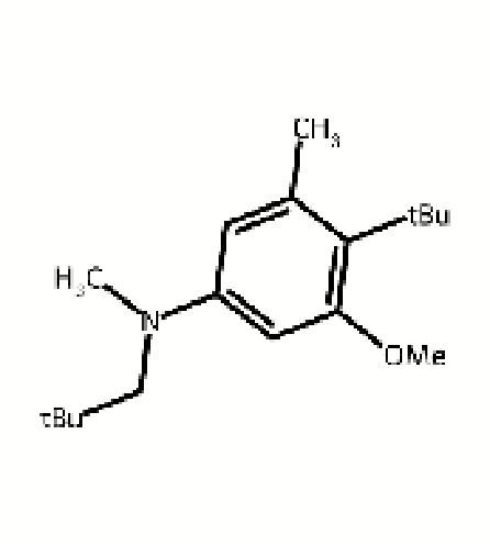 COc1cc(N(C)CC(C)(C)C)cc(C)c1C(C)(C)C